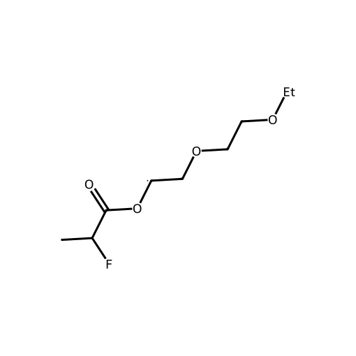 CCOCCOC[CH]OC(=O)C(C)F